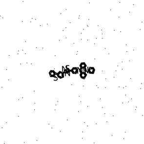 c1ccc(N2c3ccccc3N(c3ccc(-c4nc(-c5ccc6sc7ccccc7c6c5)ns4)cc3)c3ccccc32)cc1